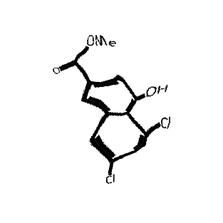 COC(=O)c1cc(O)c2c(Cl)cc(Cl)cc2c1